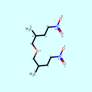 CC(CC[N+](=O)[O-])COCC(C)CC[N+](=O)[O-]